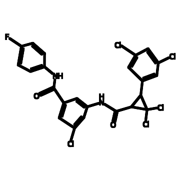 O=C(Nc1ccc(F)cc1)c1cc(Cl)cc(NC(=O)C2C(c3cc(Cl)cc(Cl)c3)C2(Cl)Cl)c1